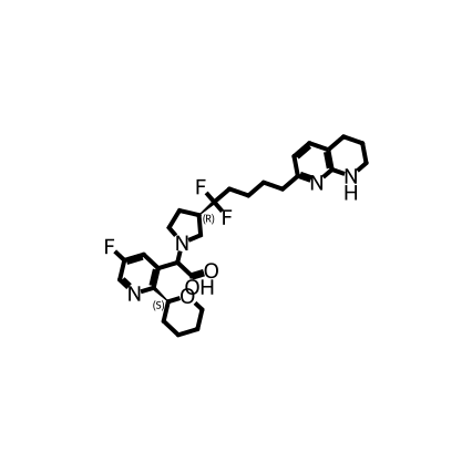 O=C(O)C(c1cc(F)cnc1[C@@H]1CCCCO1)N1CC[C@@H](C(F)(F)CCCCc2ccc3c(n2)NCCC3)C1